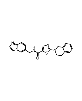 O=C(NCc1ccc2nccn2c1)c1cnc(N2CCc3ccccc3C2)s1